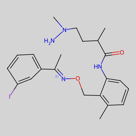 C/C(=N\OCc1c(C)cccc1NC(=O)C(C)CCN(C)N)c1cccc(I)c1